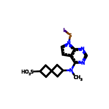 CN(c1ncnc2c1ccn2SI)C1CC2(C1)CC(S(=O)(=O)O)C2